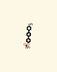 CCCC(=O)Oc1ccc(-c2ccc(C3CCC(CCC)CC3)cc2)cc1